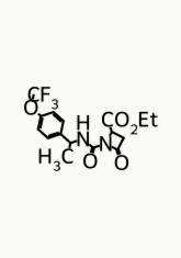 CCOC(=O)C1CC(=O)N1C(=O)NC(C)c1ccc(OC(F)(F)F)cc1